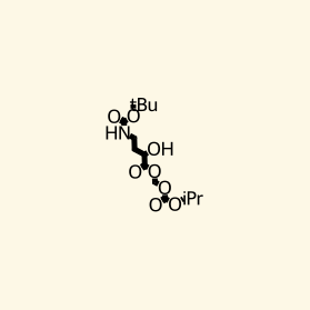 CC(C)OC(=O)OCOC(=O)C(O)CCNC(=O)OC(C)(C)C